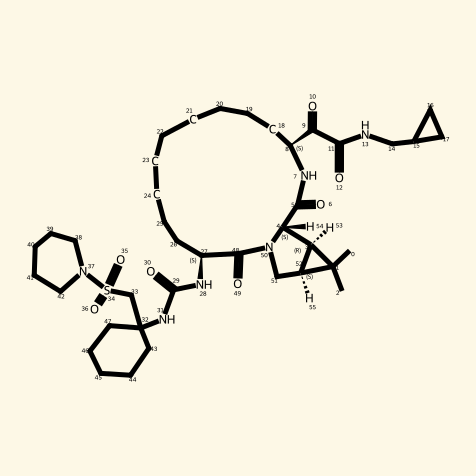 CC1(C)[C@@H]2[C@H]3C(=O)N[C@H](C(=O)C(=O)NCC4CC4)CCCCCCCCC[C@H](NC(=O)NC4(CS(=O)(=O)N5CCCCC5)CCCCC4)C(=O)N3C[C@@H]21